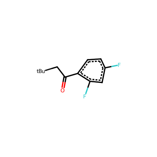 CC(C)(C)CC(=O)c1ccc(F)cc1F